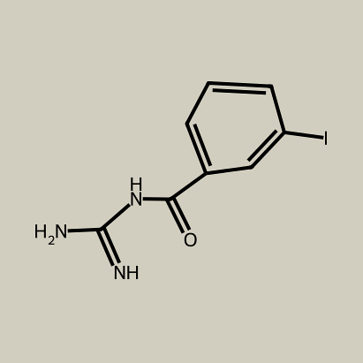 N=C(N)NC(=O)c1cccc(I)c1